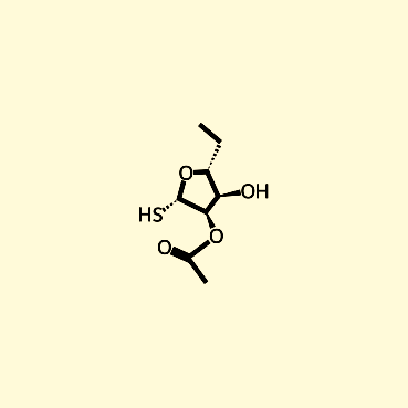 CC[C@H]1O[C@@H](S)[C@H](OC(C)=O)[C@@H]1O